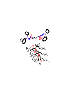 CCCC(C)C(=O)C(=O)C(C)(C)C.CCCC(C)C(=O)C(=O)C(C)(C)C.CCCC(C)C(=O)C(=O)C(C)(C)C.[O-]/[P+](CCCC/[P+]([O-])=N/P(c1ccccc1)c1ccccc1)=N\P(c1ccccc1)c1ccccc1.[Tb].[Tb]